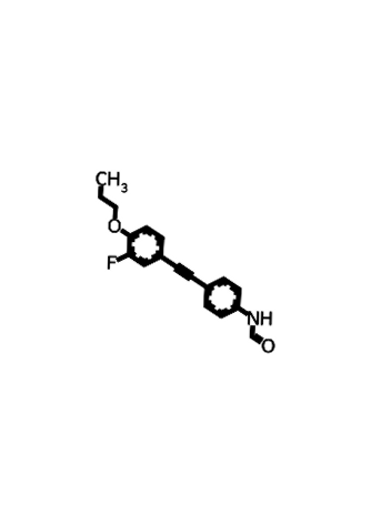 CCCOc1ccc(C#Cc2ccc(NC=O)cc2)cc1F